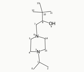 CC(C)N1CCN(CC(O)C(C)(C)C)CC1